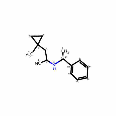 C[C@@H](NC(C#N)CC1(C)CC1)c1ccccc1